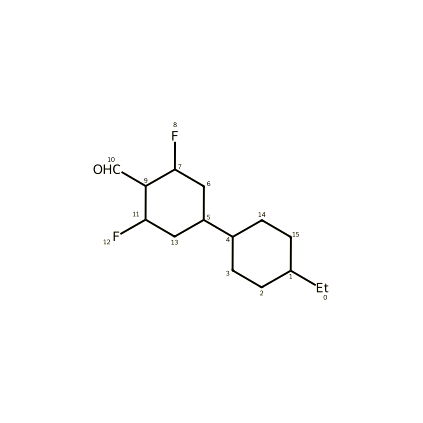 CCC1CCC(C2CC(F)C(C=O)C(F)C2)CC1